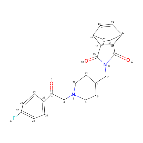 O=C(CN1CCC(CN2C(=O)C3C4C=CC(CC4)C3C2=O)CC1)c1ccc(F)cc1